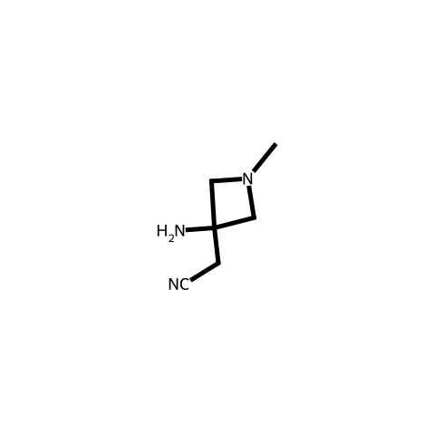 CN1CC(N)(CC#N)C1